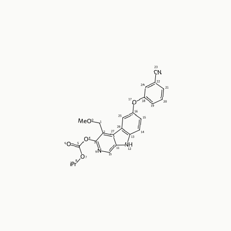 COCc1c(OC(=O)OC(C)C)ncc2[nH]c3ccc(Oc4cccc(C#N)c4)cc3c12